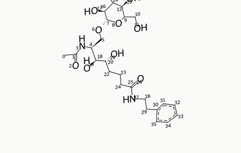 CC(=O)N[C@@H](CO[C@H]1OC(CO)[C@H](O)C(O)[C@@H]1O)[C@H](O)[C@H](O)CCCC(=O)NCCc1ccccc1